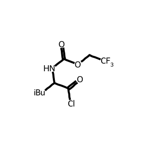 CCC(C)C(NC(=O)OCC(F)(F)F)C(=O)Cl